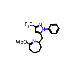 COC1=NC(Cc2cc(C(F)(F)F)nn2-c2ccccc2)CCCC1